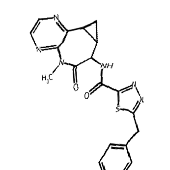 CN1C(=O)C(NC(=O)c2nnc(Cc3ccccc3)s2)C2CC2c2nccnc21